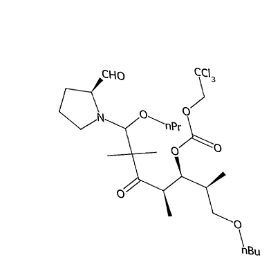 CCCCOC[C@H](C)[C@H](OC(=O)OCC(Cl)(Cl)Cl)[C@@H](C)C(=O)C(C)(C)C(OCCC)N1CCC[C@H]1C=O